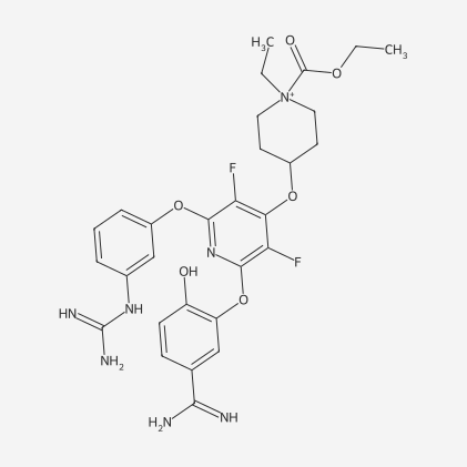 CCOC(=O)[N+]1(CC)CCC(Oc2c(F)c(Oc3cccc(NC(=N)N)c3)nc(Oc3cc(C(=N)N)ccc3O)c2F)CC1